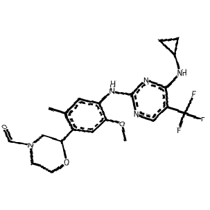 COc1cc(C2CN(C=O)CCO2)c(C)cc1Nc1ncc(C(F)(F)F)c(NC2CC2)n1